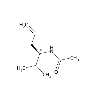 C=CC[C@@H](NC(C)=O)C(C)C